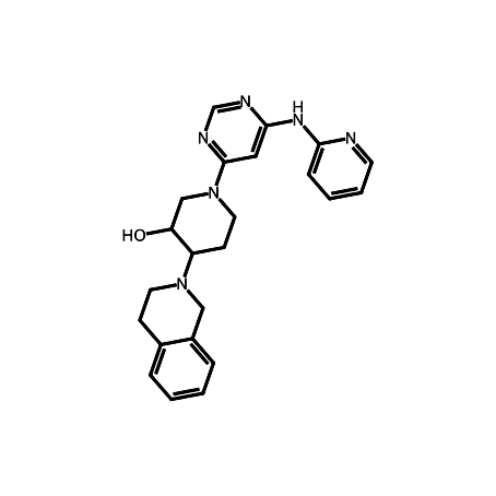 OC1CN(c2cc(Nc3ccccn3)ncn2)CCC1N1CCc2ccccc2C1